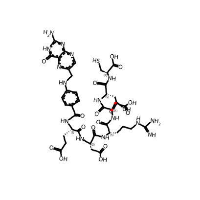 N=C(N)NCCC[C@H](NC(=O)[C@H](CC(=O)O)NC(=O)[C@H](CCC(=O)O)NC(=O)c1ccc(NCc2cnc3nc(N)[nH]c(=O)c3n2)cc1)C(=O)N[C@@H](CC(=O)O)C(=O)N[C@@H](CC(=O)O)C(=O)N[C@@H](CS)C(=O)O